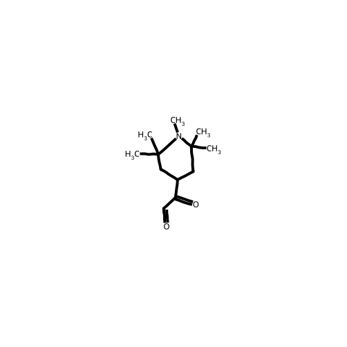 CN1C(C)(C)CC(C(=O)C=O)CC1(C)C